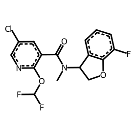 CN(C(=O)c1cc(Cl)cnc1OC(F)F)C1COc2c(F)cccc21